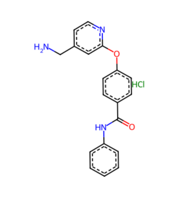 Cl.NCc1ccnc(Oc2ccc(C(=O)Nc3ccccc3)cc2)c1